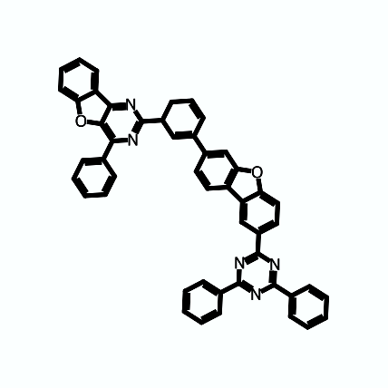 C1=CC(c2ccc3c(c2)oc2ccc(-c4nc(-c5ccccc5)nc(-c5ccccc5)n4)cc23)=CC(c2nc(-c3ccccc3)c3oc4ccccc4c3n2)C1